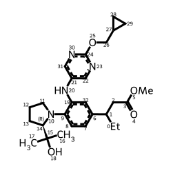 CCC(CC(=O)OC)c1ccc(N2CCC[C@@H]2C(C)(C)O)c(Nc2cnc(OCC3CC3)nc2)c1